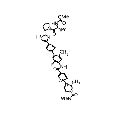 CNC(=O)N1CCN(c2ccc(C(=O)Nc3cc(C)c(-c4ccc(-c5c[nH]c([C@@H]6CCCN6C(=O)[C@@H](NC(=O)OC)C(C)C)n5)cc4)cc3F)cn2)[C@H](C)C1